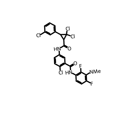 CNc1c(F)ccc(NC(=O)c2cc(NC(=O)C3C(c4cccc(Cl)c4)C3(Cl)Cl)ccc2Cl)c1F